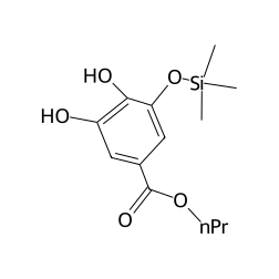 CCCOC(=O)c1cc(O)c(O)c(O[Si](C)(C)C)c1